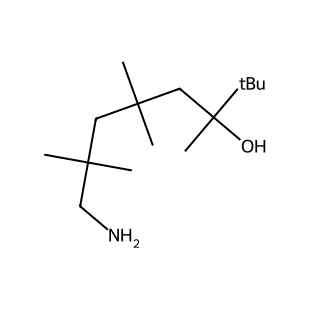 CC(C)(CN)CC(C)(C)CC(C)(O)C(C)(C)C